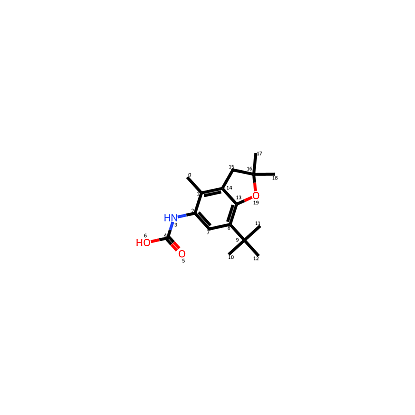 Cc1c(NC(=O)O)cc(C(C)(C)C)c2c1CC(C)(C)O2